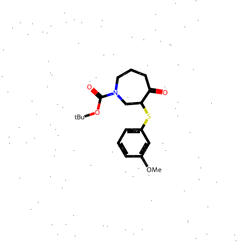 COc1cccc(SC2CN(C(=O)OC(C)(C)C)CCCC2=O)c1